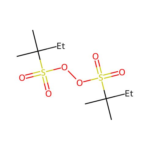 CCC(C)(C)S(=O)(=O)OOS(=O)(=O)C(C)(C)CC